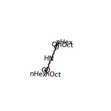 CCCCCCCCC(CCCCCC)C(=O)OCCCCCCNCCCCCCOC(=O)C(CCCCCC)CCCCCCCC